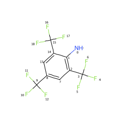 [NH]c1c(C(F)(F)F)cc(C(F)(F)F)cc1C(F)(F)F